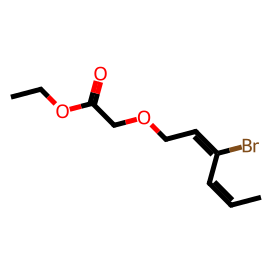 C/C=C\C(Br)=C/COCC(=O)OCC